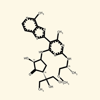 CCC(O)(CC)[C@H]1CC(Nc2nc(N[C@H](C)COC)nc(C)c2-c2nc3c(C)nccc3s2)[C@H](O)C1=O